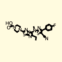 CCc1nc2sc(N3CCN(C(=O)O)CC3)nn2c1N(C)c1nc(-c2ccc(F)cc2)c(C#N)s1